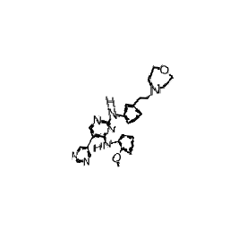 COc1ccccc1Nc1nc(Nc2cccc(CCN3CCOCC3)c2)ncc1-c1cncnc1